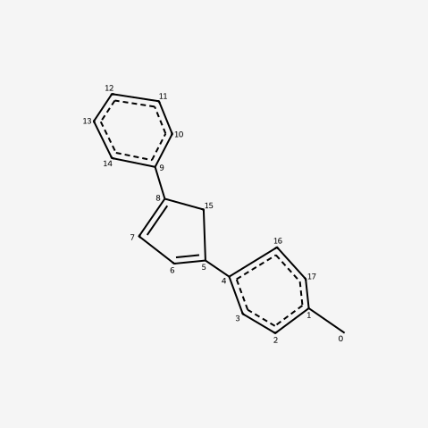 Cc1ccc(C2=CC=C(c3ccccc3)C2)cc1